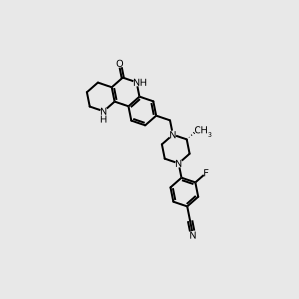 C[C@@H]1CN(c2ccc(C#N)cc2F)CCN1Cc1ccc2c3c(c(=O)[nH]c2c1)CCCN3